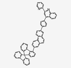 c1ccc(-c2cc(-c3ccc(-c4ccc5c(ccc6cc(-c7cccc8c7-c7ccccc7C87c8ccccc8-c8ccccc87)ccc65)c4)cc3)c3ccccc3n2)nc1